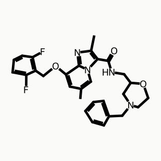 Cc1cc(OCc2c(F)cccc2F)c2nc(C)c(C(=O)NCC3CN(Cc4ccccc4)CCO3)n2c1